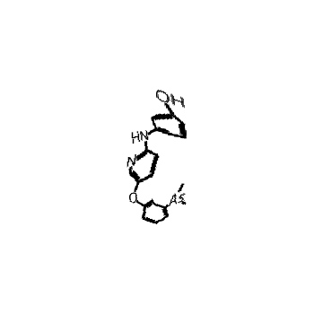 C[As](C)c1cccc(Oc2ccc(Nc3cccc(O)c3)nc2)c1